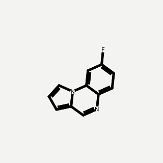 Fc1ccc2ncc3cccn3c2c1